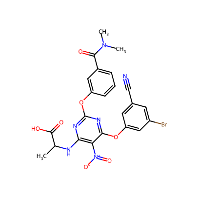 CC(Nc1nc(Oc2cccc(C(=O)N(C)C)c2)nc(Oc2cc(Br)cc(C#N)c2)c1[N+](=O)[O-])C(=O)O